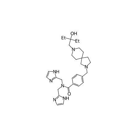 CCC(O)(CC)CN1CCC2(CC1)CCN(Cc1ccc(C(=O)N(Cc3ncc[nH]3)Cc3ncc[nH]3)cc1)C2